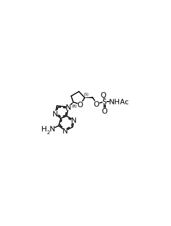 CC(=O)NS(=O)(=O)OC[C@@H]1CC[C@H](n2cnc3c(N)ncnc32)O1